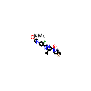 CNC(=O)[C@H]1CCN(c2ccc(-c3cn4cc(C(=O)N5CCc6sccc6[C@H]5C)cc(C5CC5)c4n3)c(F)c2)C1